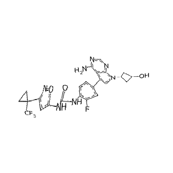 Nc1ncnc2c1c(-c1ccc(NC(=O)Nc3cc(C4(C(F)(F)F)CC4)no3)c(F)c1)cn2C1CC(O)C1